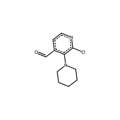 O=Cc1ccnc(Cl)c1N1CCCCC1